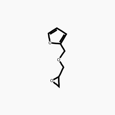 c1coc(COCC2CO2)c1